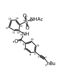 CCCCC#Cc1ccc(C(=O)Nc2ccccc2S(=O)(=O)NC(C)=O)cc1